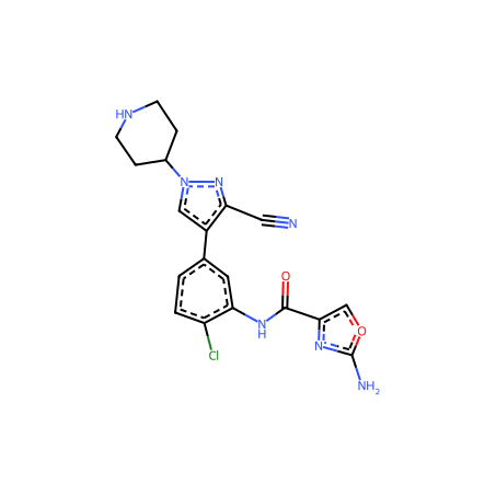 N#Cc1nn(C2CCNCC2)cc1-c1ccc(Cl)c(NC(=O)c2coc(N)n2)c1